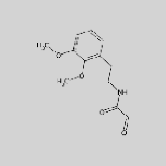 COc1cccc(CCNC(=O)C=O)c1OC